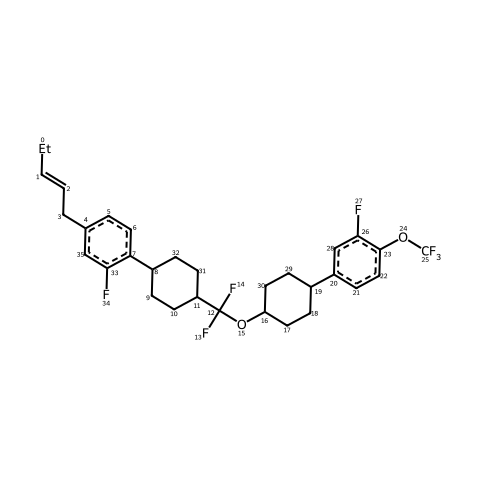 CC/C=C/Cc1ccc(C2CCC(C(F)(F)OC3CCC(c4ccc(OC(F)(F)F)c(F)c4)CC3)CC2)c(F)c1